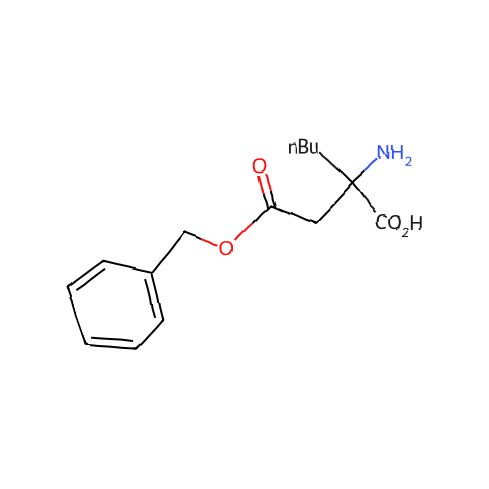 CCCCC(N)(CC(=O)OCc1ccccc1)C(=O)O